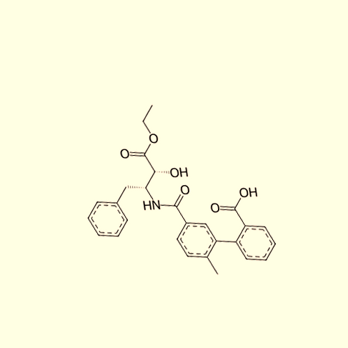 CCOC(=O)[C@H](O)[C@@H](Cc1ccccc1)NC(=O)c1ccc(C)c(-c2ccccc2C(=O)O)c1